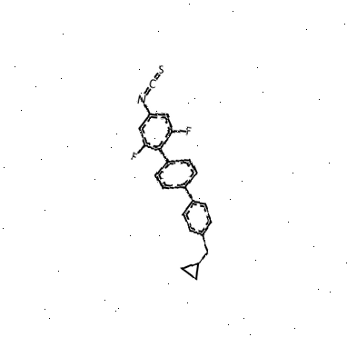 Fc1cc(N=C=S)cc(F)c1-c1ccc(-c2ccc(CC3CC3)cc2)cc1